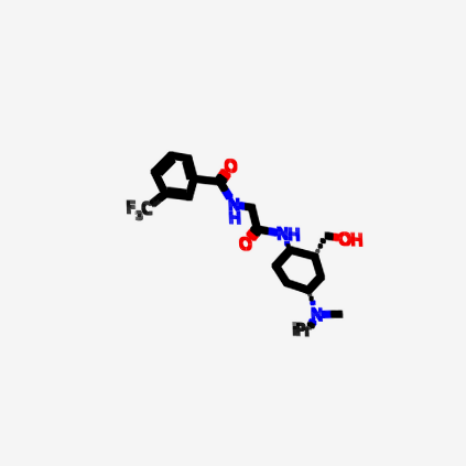 CC(C)N(C)[C@@H]1CC[C@H](NC(=O)CNC(=O)c2cccc(C(F)(F)F)c2)[C@H](CO)C1